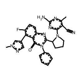 Cc1nc(N)nc(N2CCCC2c2nc3ccc(F)c(-c4cnn(C)c4)c3c(=O)n2-c2ccccc2)c1C#N